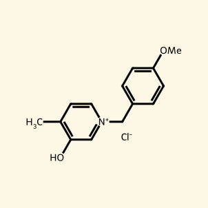 COc1ccc(C[n+]2ccc(C)c(O)c2)cc1.[Cl-]